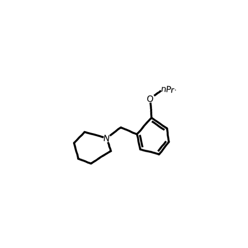 CC[CH]Oc1ccccc1CN1CCCCC1